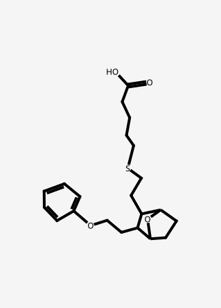 O=C(O)CCCCSCCC1C2CCC(O2)C1CCOc1ccccc1